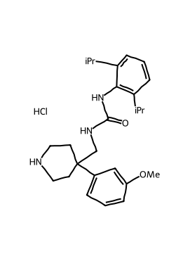 COc1cccc(C2(CNC(=O)Nc3c(C(C)C)cccc3C(C)C)CCNCC2)c1.Cl